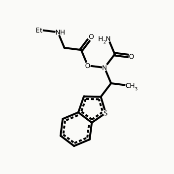 CCNCC(=O)ON(C(N)=O)C(C)c1cc2ccccc2s1